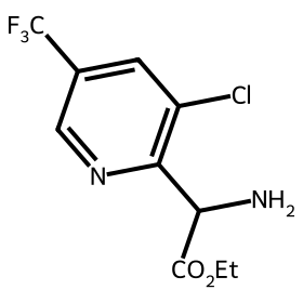 CCOC(=O)C(N)c1ncc(C(F)(F)F)cc1Cl